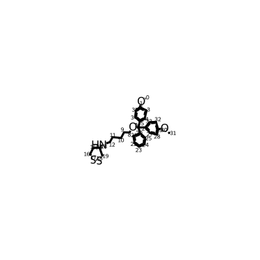 COc1ccc(C(OCCCCCN[C@H]2CCSSC2)(c2ccccc2)c2ccc(OC)cc2)cc1